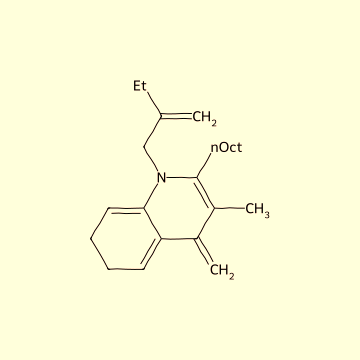 C=C(CC)CN1C2=CCCC=C2C(=C)C(C)=C1CCCCCCCC